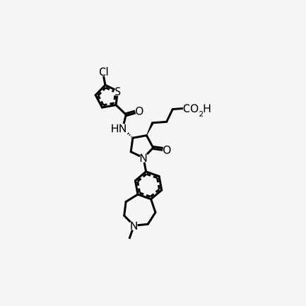 CN1CCc2ccc(N3C[C@H](NC(=O)c4ccc(Cl)s4)[C@@H](CCCC(=O)O)C3=O)cc2CC1